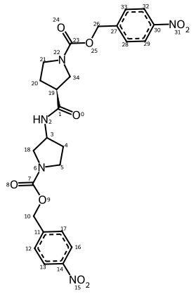 O=C(NC1CCN(C(=O)OCc2ccc([N+](=O)[O-])cc2)C1)[C@H]1CCN(C(=O)OCc2ccc([N+](=O)[O-])cc2)C1